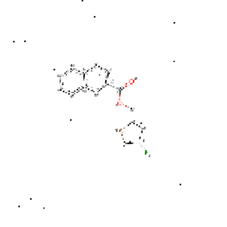 O=C(OC[C@@H]1C[C@H](F)CS1)c1ccc2ccccc2c1